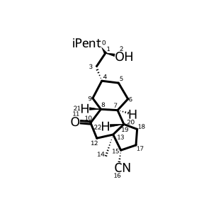 CCC[C@H](C)[C@@H](O)C[C@@H]1CC[C@@H]2[C@@H](C1)C(=O)C[C@]1(C)[C@@H](C#N)CC[C@@H]21